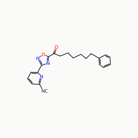 [C-]#[N+]c1cccc(-c2noc(C(=O)CCCCCCc3ccccc3)n2)n1